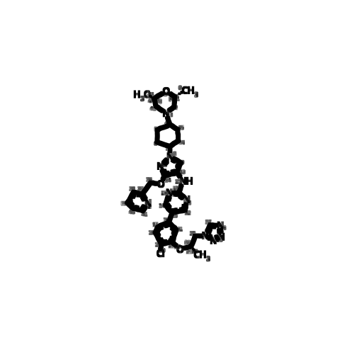 C[C@@H]1CN(C2CCC(n3cc(Nc4ncc(-c5ccc(Cl)c(O[C@@H](C)Cn6cnnn6)c5)cn4)c(OCc4ccccn4)n3)CC2)C[C@H](C)O1